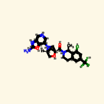 C[C@H]1c2c(Cl)cc(C(F)(F)F)cc2CCN1C(=O)[C@@]12C[C@@H](CO1)N(c1cncc3nc(N)oc13)C2